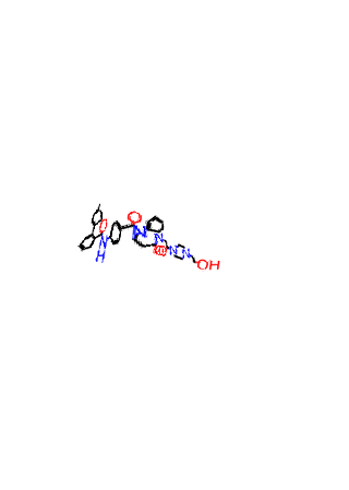 Cc1ccc(-c2ccccc2C(=O)Nc2ccc(C(=O)N3CCC(=O)N(CC(=O)N4CCN(CCO)CC4)c4ccccc43)cc2)cc1